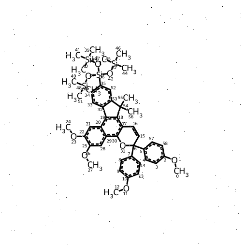 COc1ccc(C2(c3ccc(OC)cc3)C=Cc3c4c(c5cc(OC)c(OC)cc5c3O2)-c2ccc([Si](O[Si](C)(C)C)(O[Si](C)(C)C)O[Si](C)(C)C)cc2C4(C)C)cc1